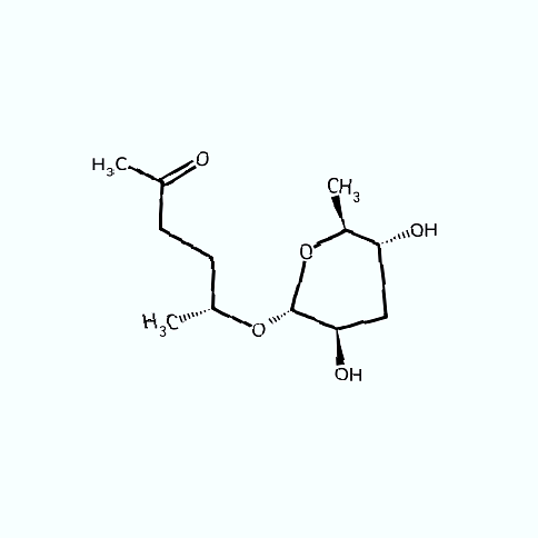 CC(=O)CC[C@@H](C)O[C@@H]1O[C@@H](C)[C@H](O)C[C@H]1O